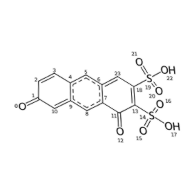 O=C1C=Cc2cc3c(cc2=C1)C(=O)C(S(=O)(=O)O)=C(S(=O)(=O)O)C=3